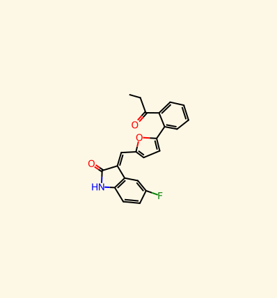 CCC(=O)c1ccccc1-c1ccc(/C=C2/C(=O)Nc3ccc(F)cc32)o1